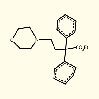 CCOC(=O)C(CCN1CCOCC1)(c1ccccc1)c1ccccc1